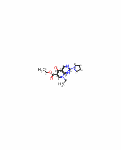 CCOC(=O)c1cn(CC)c2nc(N3CCCC3)ncc2c1=O